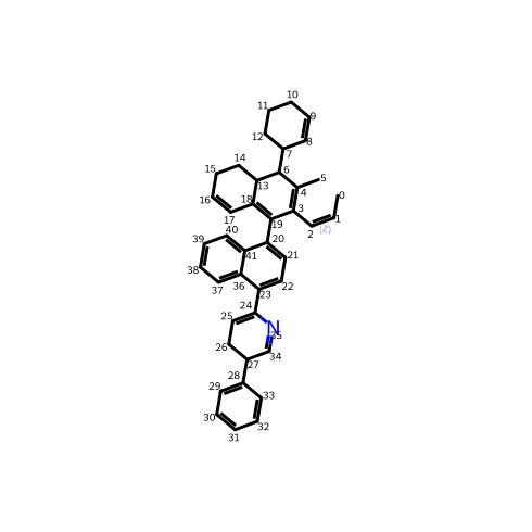 C/C=C\C1=C(C)C(C2C=CCCC2)C2CCC=CC2=C1c1ccc(C2=CCC(c3ccccc3)C=N2)c2ccccc12